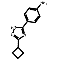 Nc1ccc(-c2nc(C3CCC3)n[nH]2)cc1